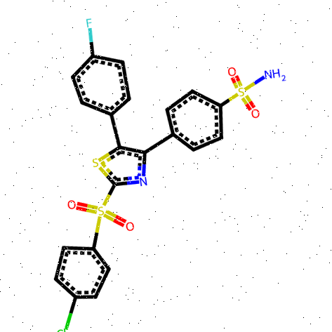 NS(=O)(=O)c1ccc(-c2nc(S(=O)(=O)c3ccc(Cl)cc3)sc2-c2ccc(F)cc2)cc1